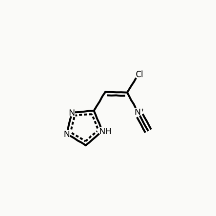 C#[N+]/C(Cl)=C\c1nnc[nH]1